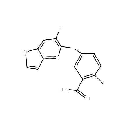 N=C(N)c1cc(Oc2nc3cc[nH]c3cc2F)ccc1F